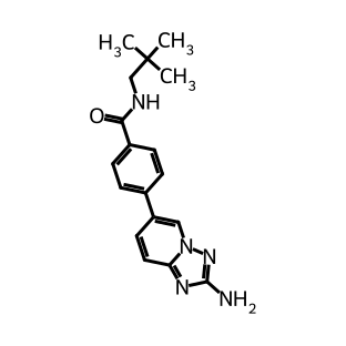 CC(C)(C)CNC(=O)c1ccc(-c2ccc3nc(N)nn3c2)cc1